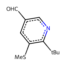 CSc1cc(C=O)cnc1C(C)(C)C